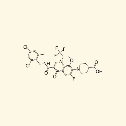 COc1c(N2CCC(C(=O)O)CC2)c(F)cc2c(=O)c(C(=O)NCc3c(C)cc(Cl)cc3Cl)cn(CC(F)(F)F)c12